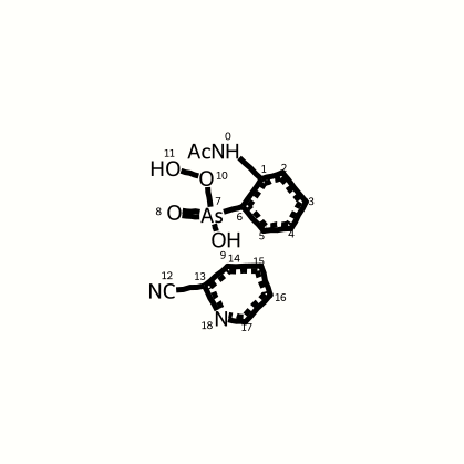 CC(=O)Nc1ccccc1[As](=O)(O)OO.N#Cc1ccccn1